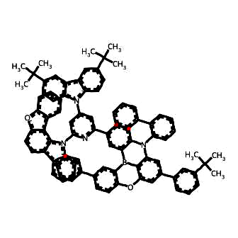 CC(C)(C)c1cccc(-c2cc3c4c(c2)N(c2ccccc2-c2ccccc2)c2ccc(-c5cc(-n6c7ccc(C(C)(C)C)cc7c7cc(C(C)(C)C)ccc76)cc(-n6c7ccccc7c7ccc8oc9ccccc9c8c76)n5)cc2B4c2cc(-c4ccccc4)ccc2O3)c1